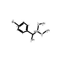 CCCO[SiH](OCCC)C(CCC)c1ccc(Br)cc1